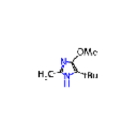 COc1nc(C)[nH]c1C(C)(C)C